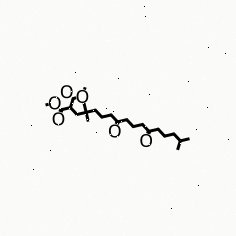 COC(=O)C(CC(C)(C)CCCC(=O)CCCC(=O)CCCC(C)C)C(=O)OC